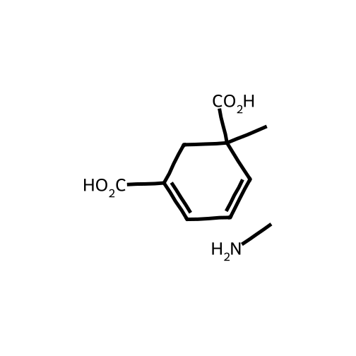 CC1(C(=O)O)C=CC=C(C(=O)O)C1.CN